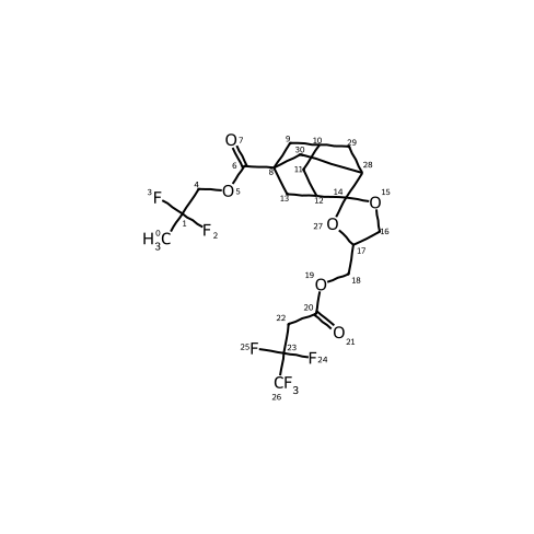 CC(F)(F)COC(=O)C12CC3CC(C1)C1(OCC(COC(=O)CC(F)(F)C(F)(F)F)O1)C(C3)C2